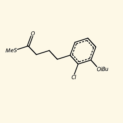 CSC(=O)CCCc1cccc(OCC(C)C)c1Cl